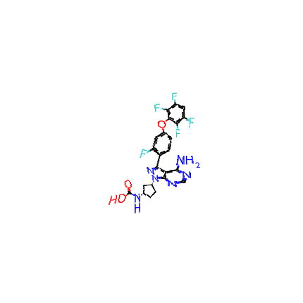 Nc1ncnc2c1c(-c1ccc(Oc3c(F)c(F)cc(F)c3F)cc1F)nn2[C@@H]1CC[C@H](NC(=O)O)C1